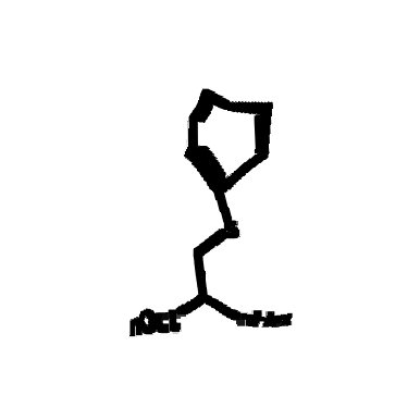 CCCCCCCCC(CCCCCC)CSc1ccccc1